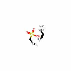 C=CC(=O)[O-].CCS(=O)(=O)O.[Na+]